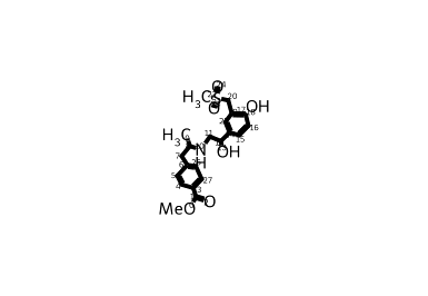 COC(=O)c1ccc(CC(C)NCC(O)c2ccc(O)c(CS(C)(=O)=O)c2)cc1